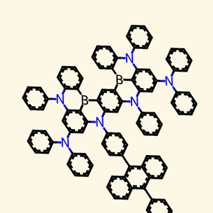 c1ccc(-c2c3ccccc3c(-c3ccc(N4c5cc6c(cc5B5c7ccccc7N(c7ccccc7)c7cc(N(c8ccccc8)c8ccccc8)cc4c75)B4c5ccccc5N(c5ccccc5)c5cc(N(c7ccccc7)c7ccccc7)cc(c54)N6c4ccccc4)cc3)c3ccccc23)cc1